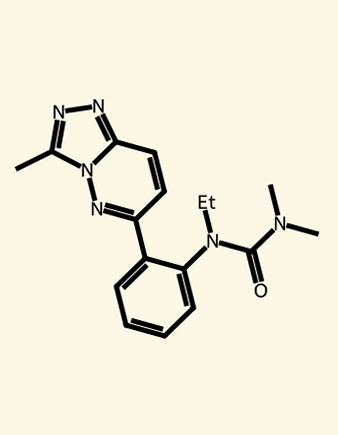 CCN(C(=O)N(C)C)c1ccccc1-c1ccc2nnc(C)n2n1